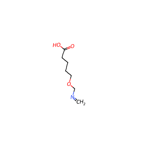 C=NCOCCCCC(=O)O